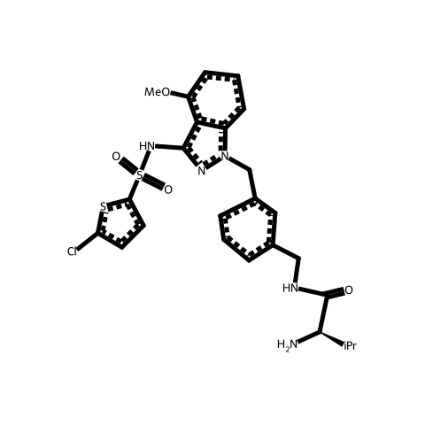 COc1cccc2c1c(NS(=O)(=O)c1ccc(Cl)s1)nn2Cc1cccc(CNC(=O)[C@H](N)C(C)C)c1